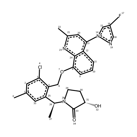 Cc1cc(Cl)c(COc2cccc3c(-n4cc(F)cn4)cc(C)nc23)c([C@H](C)N2CC[C@H](O)C2=O)c1